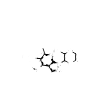 CCCC1OCCOC1n1ncc2c(OCC)c(C(=O)OCC)c(C)nc21